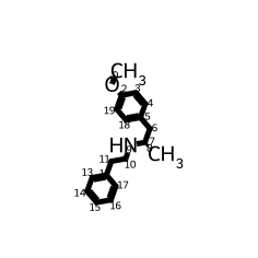 COc1ccc(C[C@@H](C)NCCc2ccccc2)cc1